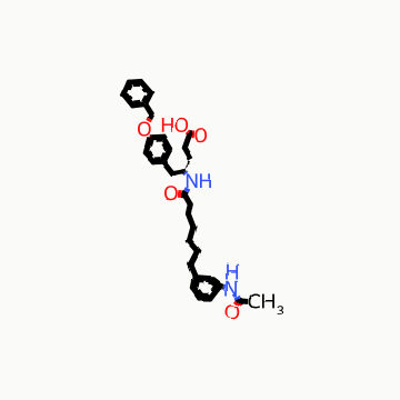 CC(=O)Nc1cccc(CCCCCCC(=O)N[C@@H](CCC(=O)O)Cc2ccc(OCc3ccccc3)cc2)c1